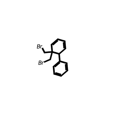 BrCC1(CBr)C=CC=CC1c1ccccc1